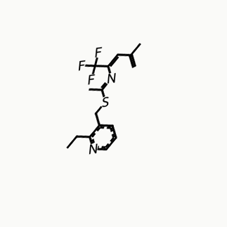 C=C(C)/C=C(\N=C(/C)SCc1cccnc1CC)C(F)(F)F